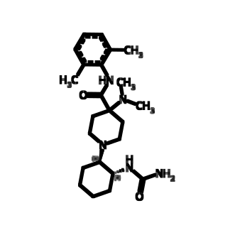 Cc1cccc(C)c1NC(=O)C1(N(C)C)CCN([C@@H]2CCCC[C@H]2NC(N)=O)CC1